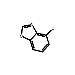 [O]c1cccc2ocnc12